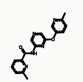 Cc1ccc(Oc2cncc(NC(=O)c3cccc(C)n3)n2)cn1